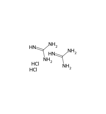 Cl.Cl.N=C(N)N.N=C(N)N